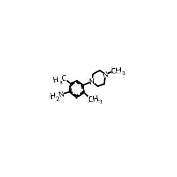 Cc1cc(N2CCN(C)CC2)c(C)cc1N